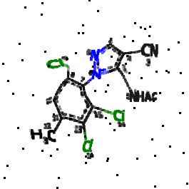 CC(=O)Nc1c(C#N)cnn1-c1c(Cl)cc(C)c(Cl)c1Cl